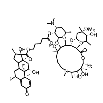 CC[C@H]1OC(=O)[C@H](C)[C@@H](O[C@@H]2C[C@](C)(OC)[C@H](O)C(C)O2)[C@H](C)C(O[C@@H]2O[C@H](C)C[C@@H](N(C)C)[C@H]2OC(=O)CCCCOC(=O)[C@@]2(O)[C@H](C)CC3C4C[C@H](F)C5=CC(=O)C=C[C@]5(C)[C@@]4(F)[C@@H](O)C[C@@]32C)[C@](C)(O)CCCN(C)[C@H](C)[C@@H](O)[C@]1(C)O